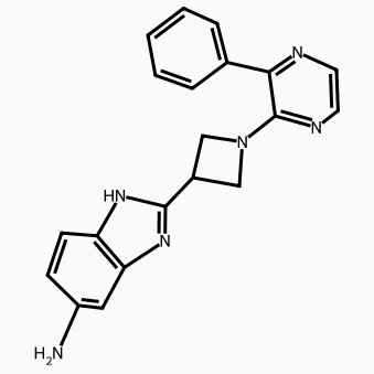 Nc1ccc2[nH]c(C3CN(c4nccnc4-c4ccccc4)C3)nc2c1